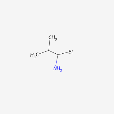 [CH2]CC(N)C(C)C